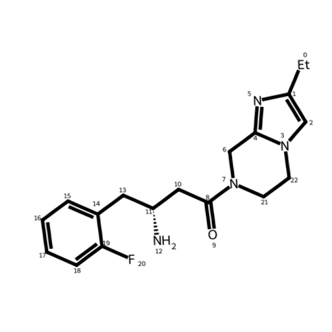 CCc1cn2c(n1)CN(C(=O)C[C@H](N)Cc1ccccc1F)CC2